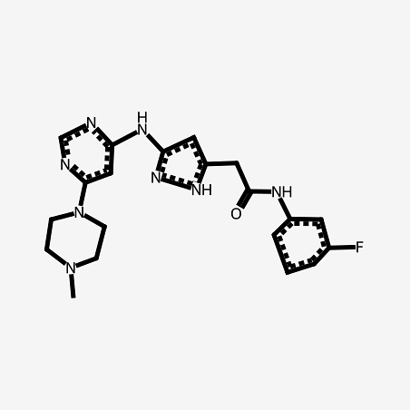 CN1CCN(c2cc(Nc3cc(CC(=O)Nc4cccc(F)c4)[nH]n3)ncn2)CC1